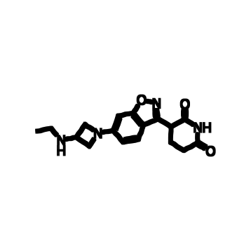 CCNC1CN(c2ccc3c(C4CCC(=O)NC4=O)noc3c2)C1